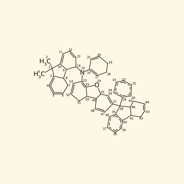 CC1(C)C2=C=C=CCC2C2C1=CC=CC2N(C1=CCCC=C1)C1=C2OC3C=C(C4(c5ccccc5)c5ccccc5C5CC=CCC54)C=CC3C2CC=C1